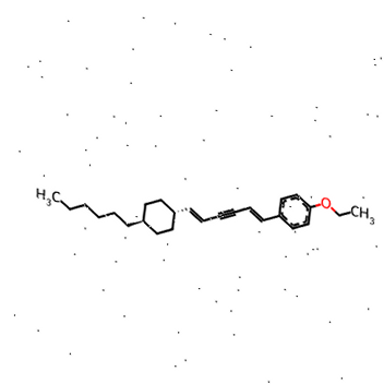 CCCCCC[C@H]1CC[C@H](/C=C/C#C/C=C/c2ccc(OCC)cc2)CC1